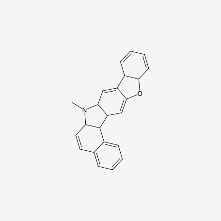 CN1C2C=C3C(=CC2C2c4ccccc4C=CC21)OC1C=CC=CC31